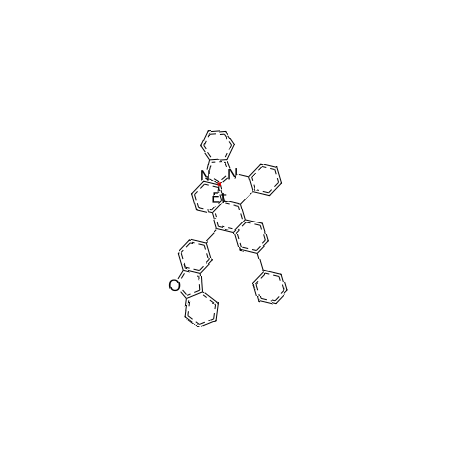 CCc1nc2ccccc2n1-c1ccccc1-c1c2ccccc2c(-c2ccc3oc4ccccc4c3c2)c2cc(-c3ccccc3)ccc12